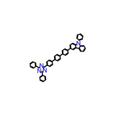 c1ccc(-c2nc(-c3ccccc3)nc(-c3ccc(-c4ccc(-c5ccc(-c6ccc7c(c6)c6ccccc6n7-c6ccccc6)cc5)cc4)cc3)n2)cc1